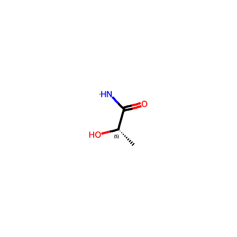 C[C@H](O)C([NH])=O